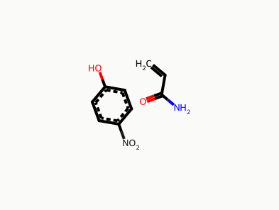 C=CC(N)=O.O=[N+]([O-])c1ccc(O)cc1